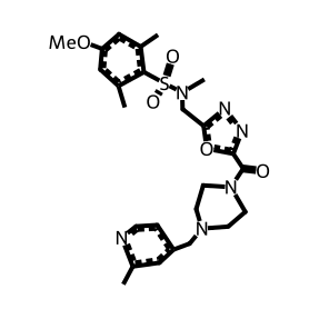 COc1cc(C)c(S(=O)(=O)N(C)Cc2nnc(C(=O)N3CCN(Cc4ccnc(C)c4)CC3)o2)c(C)c1